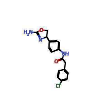 NC1=NC(c2ccc(NC(=O)Cc3ccc(Cl)cc3)cc2)CO1